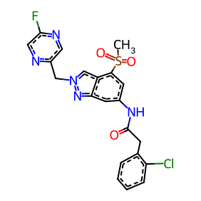 CS(=O)(=O)c1cc(NC(=O)Cc2ccccc2Cl)cc2nn(Cc3cnc(F)cn3)cc12